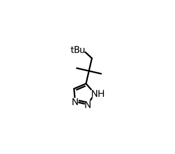 CC(C)(C)CC(C)(C)c1cnn[nH]1